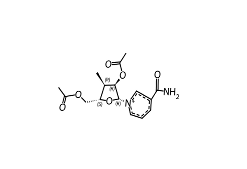 CC(=O)OC[C@H]1O[C@@H]([n+]2cccc(C(N)=O)c2)[C@H](OC(C)=O)[C@@H]1C